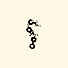 CNC(=O)c1cc(Oc2ccc3c(c2)nc(Nc2ccc(C4CCCCC4)cc2)n3C)ccn1